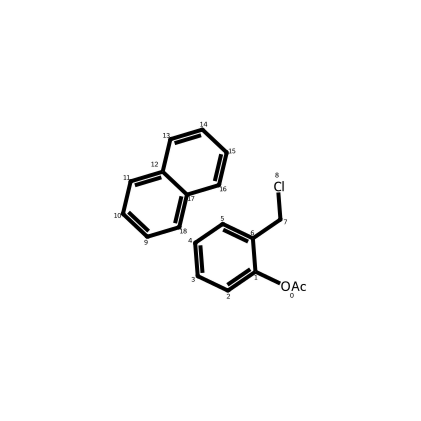 CC(=O)Oc1ccccc1CCl.c1ccc2ccccc2c1